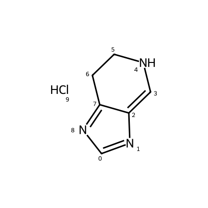 C1=NC2=CNCCC2=N1.Cl